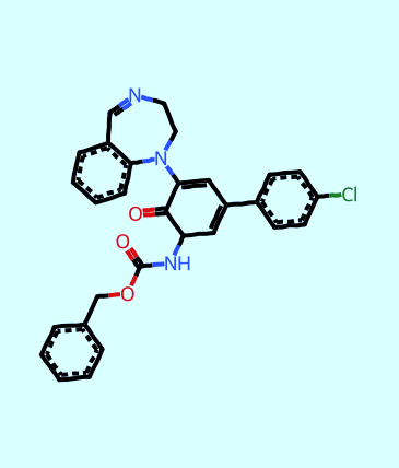 O=C(NC1C=C(c2ccc(Cl)cc2)C=C(N2CCN=Cc3ccccc32)C1=O)OCc1ccccc1